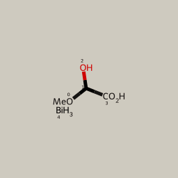 COC(O)C(=O)O.[BiH3]